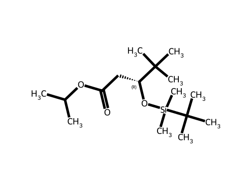 CC(C)OC(=O)C[C@@H](O[Si](C)(C)C(C)(C)C)C(C)(C)C